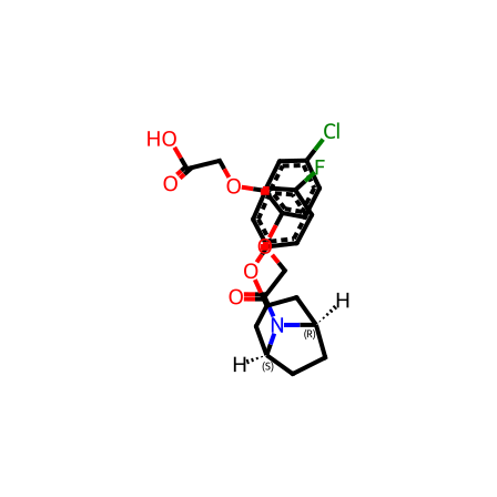 O=C(O)COc1cc(Cl)ccc1OCC(=O)N1[C@@H]2CC[C@H]1CC(Oc1ccc(F)cc1)C2